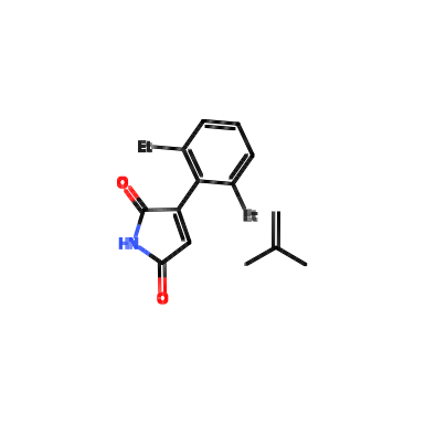 C=C(C)C.CCc1cccc(CC)c1C1=CC(=O)NC1=O